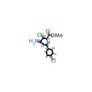 COC(=O)c1nc(-c2ccc(Cl)cc2)cc(N)c1Cl